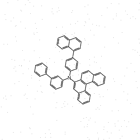 c1ccc(-c2cccc(N(c3ccc(-c4cccc5ccccc45)cc3)c3cc4ccccc4c4c3ccc3ccccc34)c2)cc1